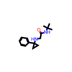 CC(C)(C)NC(=O)CNC1(c2ccccc2)CC1